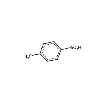 Cc1[c]cc(S(=O)(=O)O)[c]c1